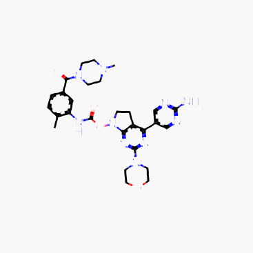 Cc1ccc(C(=O)N2CCN(C)CC2)cc1NC(=O)ON1CCc2c(-c3cnc(N)nc3)nc(N3CCOCC3)nc21